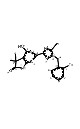 Cc1nc(-c2nc(O)c3c(n2)NC(=O)C3(C)C)nn1Cc1ccccc1F